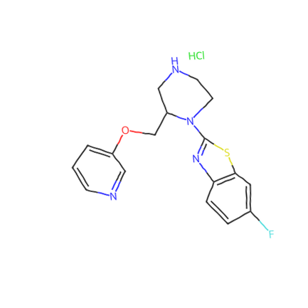 Cl.Fc1ccc2nc(N3CCNCC3COc3cccnc3)sc2c1